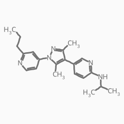 CCCc1cc(-n2nc(C)c(-c3ccc(NC(C)C)nc3)c2C)ccn1